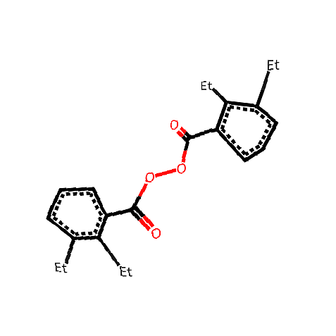 CCc1cccc(C(=O)OOC(=O)c2cccc(CC)c2CC)c1CC